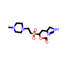 CN1CCN(CCS(=O)(=O)C(CC2CNC=N2)OC=O)CC1